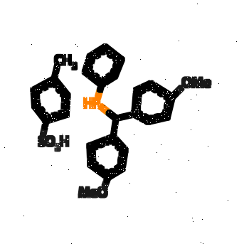 COc1ccc(C(Pc2ccccc2)c2ccc(OC)cc2)cc1.Cc1ccc(S(=O)(=O)O)cc1